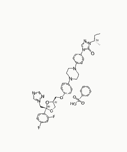 CC[C@H](C)n1ncn(-c2ccc(N3CCN(c4ccc(OC[C@H]5CO[C@](Cn6cncn6)(c6ccc(F)cc6F)O5)cc4)CC3)cc2)c1=O.O=S(=O)(O)c1ccccc1